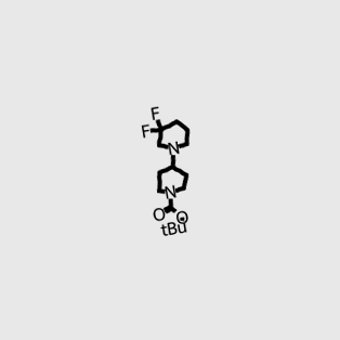 CC(C)(C)OC(=O)N1CCC(N2CCCC(F)(F)C2)CC1